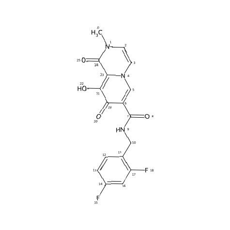 Cn1ccn2cc(C(=O)NCc3ccc(F)cc3F)c(=O)c(O)c2c1=O